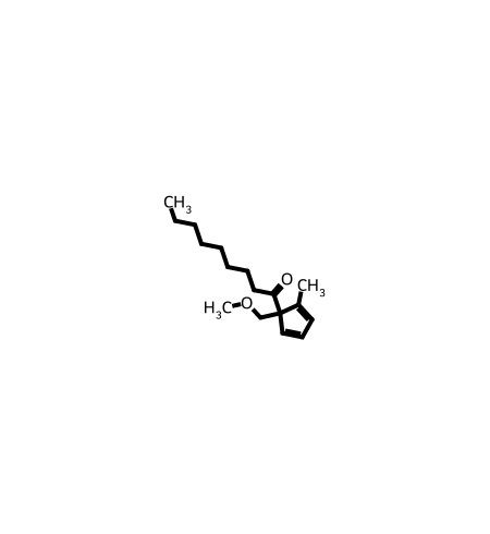 CCCCCCCCC(=O)C1(COC)C=CC=C1C